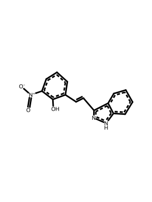 O=[N+]([O-])c1cccc(C=Cc2n[nH]c3ccccc23)c1O